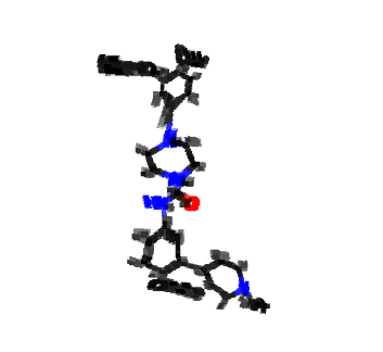 CCCN1CCC(c2cc(NC(=O)N3CCN(c4ccc(OC)c(OC)c4)CC3)ccc2OC)CC1